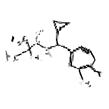 Cc1nc([C@@H](N[S+]([O-])C(C)(C)C)C2CC2)ccc1F